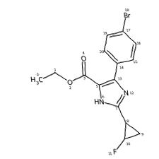 CCOC(=O)c1[nH]c(C2CC2F)nc1-c1ccc(Br)cc1